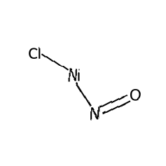 O=[N][Ni][Cl]